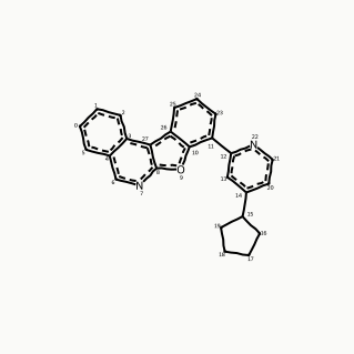 c1ccc2c(c1)cnc1oc3c(-c4cc(C5CCCC5)ccn4)cccc3c12